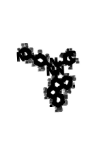 c1ccc(-c2nc(-c3ccc(-c4cccnc4)cc3)nc(-c3cc4ccc5ccccc5c4c4ccccc34)n2)cc1